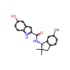 CC1(C)Cc2ccc(C#N)cc2[C@@H]1NC(=O)c1cc2cc(O)ccc2[nH]1